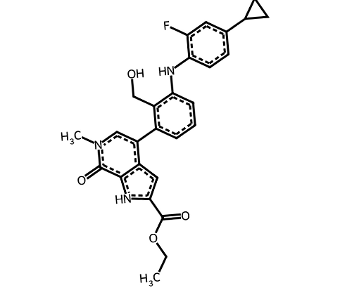 CCOC(=O)c1cc2c(-c3cccc(Nc4ccc(C5CC5)cc4F)c3CO)cn(C)c(=O)c2[nH]1